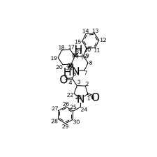 O=C1CC(C(=O)N2CC[C@H](c3ccccc3)[C@H]3CCCC[C@H]32)CN1Cc1ccccc1